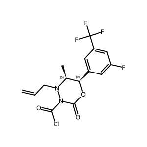 C=CCN1[C@@H](C)[C@@H](c2cc(F)cc(C(F)(F)F)c2)OC(=O)N1C(=O)Cl